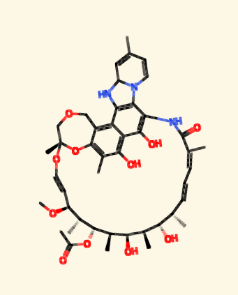 CO[C@H]1/C=C/O[C@]2(C)COCc3c(c(C)c(O)c4c(O)c(c5c(c34)NC3C=C(C)C=CN53)NC(=O)/C(C)=C\C=C\[C@H](C)[C@H](O)[C@@H](C)[C@@H](O)[C@@H](C)[C@H](OC(C)=O)[C@@H]1C)O2